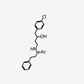 CC(=O)N(CCc1ccccc1)NCCC(O)Cc1ccc(Cl)cc1